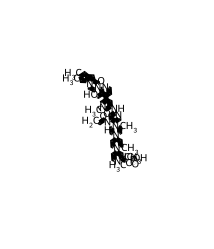 C=CC(=O)Nc1cc(Nc2cc(-c3ccnc(N4CCn5c(cc6c5CC(C)(C)C6)C4=O)c3CO)cn(C)c2=O)ncc1N1CCN(C2CCN(c3ccnc(C(C)(C)OP(=O)(O)O)c3)[C@H](C)C2)C[C@@H]1C